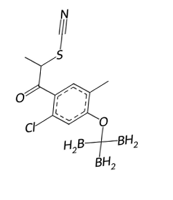 BC(B)(B)Oc1cc(Cl)c(C(=O)C(C)SC#N)cc1C